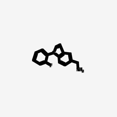 NCc1ccc2c(ccn2-c2ccccc2F)c1